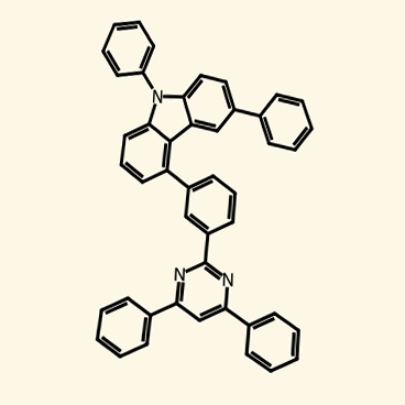 c1ccc(-c2ccc3c(c2)c2c(-c4cccc(-c5nc(-c6ccccc6)cc(-c6ccccc6)n5)c4)cccc2n3-c2ccccc2)cc1